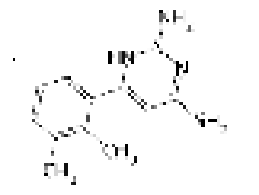 Cc1cccc(C2=CC(N)=NN(N)N2)c1C